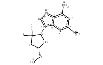 CC1(F)C[C@@H](CO)O[C@H]1n1cnc2c(N)nc(N)nc21